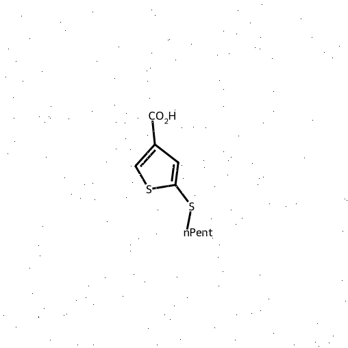 CCCCCSc1cc(C(=O)O)cs1